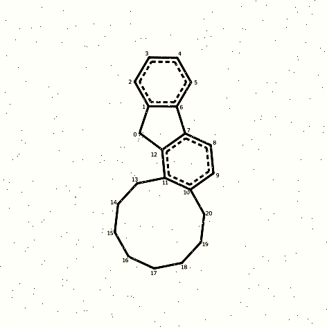 [CH]1c2ccccc2-c2ccc3c(c21)CCCCCCCC3